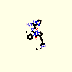 CC(NC(=O)c1c(N)nn2cccnc12)c1nn2ccc(C#Cc3cnn(C)c3)c2c(=O)n1-c1ccccc1